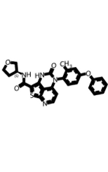 Cc1cc(Oc2ccccc2)ccc1N1C(=O)Nc2c(C(=O)N[C@H]3CCOC3)sc3nccc1c23